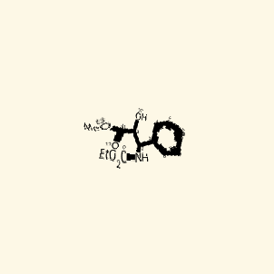 CCOC(=O)NC(c1ccccc1)C(O)C(=O)OC